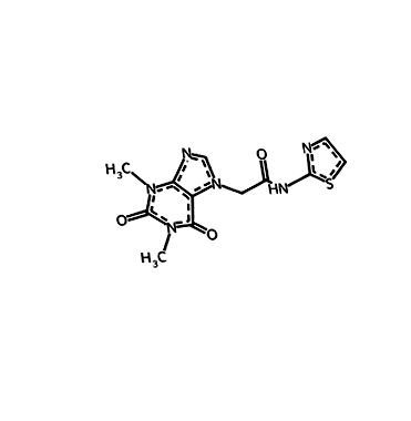 Cn1c(=O)c2c(ncn2CC(=O)Nc2nccs2)n(C)c1=O